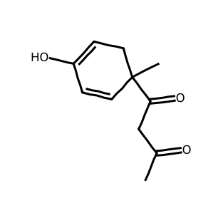 CC(=O)CC(=O)C1(C)C=CC(O)=CC1